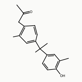 CC(=O)Cc1ccc(C(C)(C)c2ccc(O)c(C)c2)cc1C